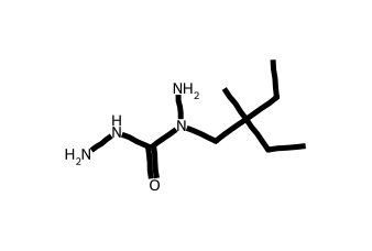 CCC(C)(CC)CN(N)C(=O)NN